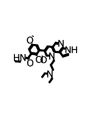 CCNC(=O)c1cc(OC)cc(-c2cc3cnc4[nH]ccc4c3n(CCCN(CC)CC)c2=O)c1Cl